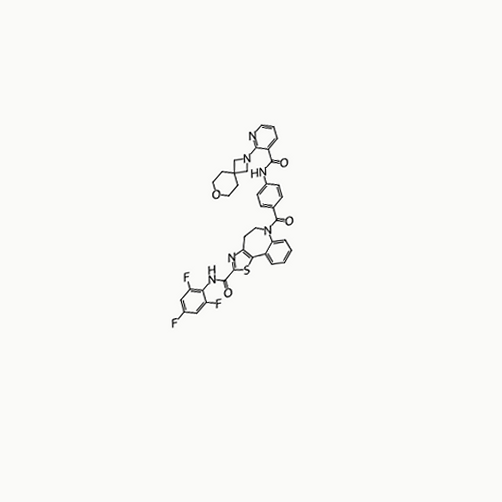 O=C(Nc1c(F)cc(F)cc1F)c1nc2c(s1)-c1ccccc1N(C(=O)c1ccc(NC(=O)c3cccnc3N3CC4(CCOCC4)C3)cc1)CC2